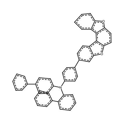 c1ccc(-c2ccc(N(c3ccc(-c4ccc5c(c4)oc4ccc6oc7ccccc7c6c45)cc3)c3ccccc3-c3ccccc3)cc2)cc1